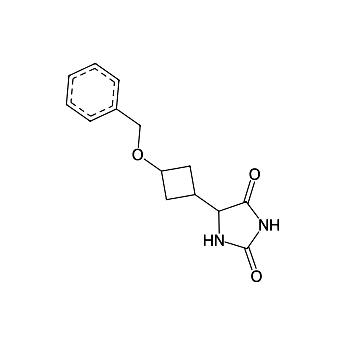 O=C1NC(=O)C(C2CC(OCc3ccccc3)C2)N1